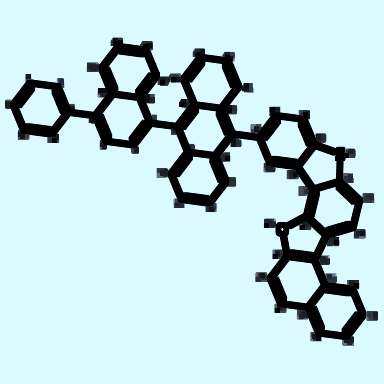 c1ccc(-c2ccc(-c3c4ccccc4c(-c4ccc5sc6ccc7c(oc8ccc9ccccc9c87)c6c5c4)c4ccccc34)c3ccccc23)cc1